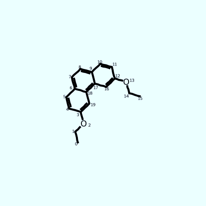 CCOc1ccc2ccc3ccc(OCC)cc3c2c1